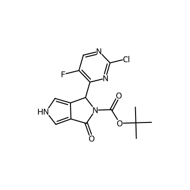 CC(C)(C)OC(=O)N1C(=O)c2c[nH]cc2C1c1nc(Cl)ncc1F